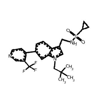 CC(C)(C)Cn1cc(CNS(=O)(=O)C2CC2)c2ccc(-c3ccncc3C(F)(F)F)cc21